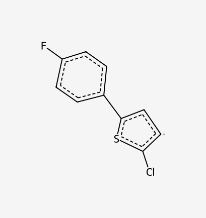 Fc1ccc(-c2c[c]c(Cl)s2)cc1